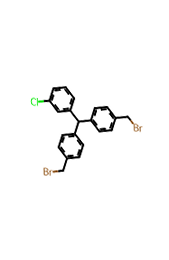 Clc1cccc(C(c2ccc(CBr)cc2)c2ccc(CBr)cc2)c1